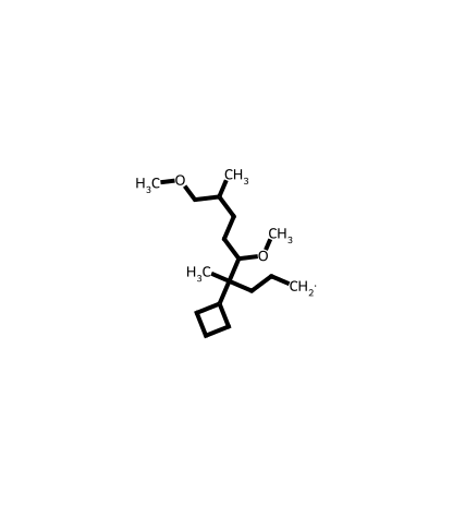 [CH2]CCC(C)(C1CCC1)C(CCC(C)COC)OC